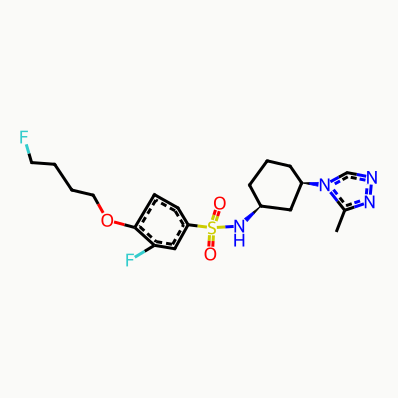 Cc1nncn1[C@@H]1CCC[C@H](NS(=O)(=O)c2ccc(OCCCCF)c(F)c2)C1